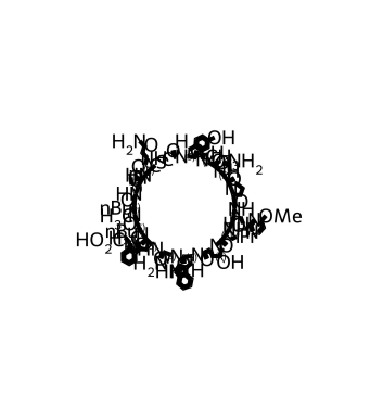 CCCC[C@H]1C(=O)N(C)[C@@H](CCCC)C(=O)N[C@@H](CC(C)C)C(=O)N[C@H](C(=O)NCC(N)=O)CSCC(=O)N[C@@H](Cc2ccc(O)cc2)C(=O)N(C)[C@@H](C)C(=O)N[C@@H](CC(N)=O)C(=O)N2CCCC2C(=O)N[C@@H](CNc2nccc(OC)n2)C(=O)N[C@@H](CC(C)C)C(=O)N2C[C@H](O)CC2C(=O)N[C@@H](Cc2c[nH]c3ccccc23)C(=O)N[C@@H](CN)C(=O)N[C@@H](Cc2cn(CC(=O)O)c3ccccc23)C(=O)N1C